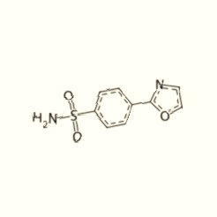 NS(=O)(=O)c1ccc(-c2ncco2)cc1